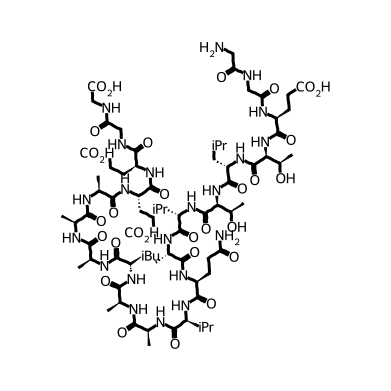 CC[C@H](C)[C@H](NC(=O)[C@H](C)NC(=O)[C@H](C)NC(=O)[C@@H](NC(=O)[C@H](CCC(N)=O)NC(=O)[C@H](C)NC(=O)[C@@H](NC(=O)[C@@H](NC(=O)[C@H](CC(C)C)NC(=O)[C@@H](NC(=O)[C@H](CCC(=O)O)NC(=O)CNC(=O)CN)[C@@H](C)O)[C@@H](C)O)C(C)C)C(C)C)C(=O)N[C@@H](C)C(=O)N[C@@H](C)C(=O)N[C@@H](C)C(=O)N[C@@H](CCC(=O)O)C(=O)N[C@@H](CCC(=O)O)C(=O)NCC(=O)NCC(=O)O